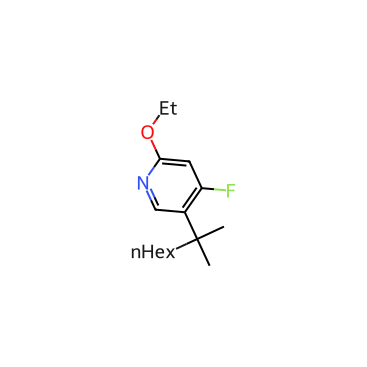 CCCCCCC(C)(C)c1cnc(OCC)cc1F